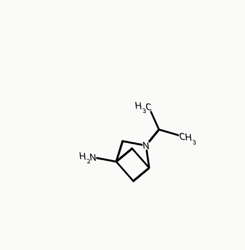 CC(C)N1CC2(N)CC1C2